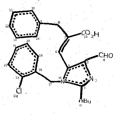 CCCCc1nc(C=O)c(C=C(Cc2ccccc2)C(=O)O)n1Cc1ccccc1Cl